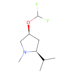 CC(C)[C@@H]1C[C@H](OC(F)F)CN1C